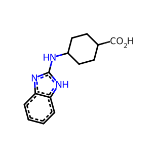 O=C(O)C1CCC(Nc2nc3ccccc3[nH]2)CC1